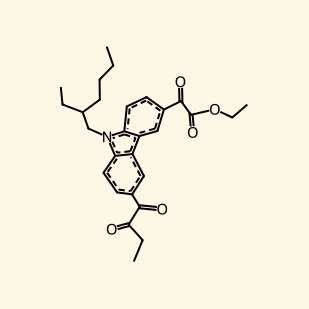 CCCCC(CC)Cn1c2ccc(C(=O)C(=O)CC)cc2c2cc(C(=O)C(=O)OCC)ccc21